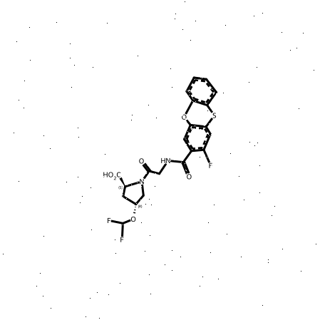 O=C(NCC(=O)N1C[C@H](OC(F)F)C[C@H]1C(=O)O)c1cc2c(cc1F)Sc1ccccc1O2